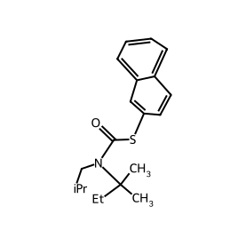 CCC(C)(C)N(CC(C)C)C(=O)Sc1ccc2ccccc2c1